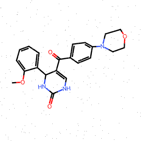 COc1ccccc1C1NC(=O)NC=C1C(=O)c1ccc(N2CCOCC2)cc1